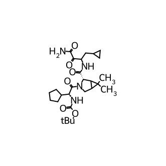 CC(C)(C)OC(=O)N[C@H](C(=O)N1CC2C([C@H]1C(=O)NC(CC1CC1)C(=O)C(N)=O)C2(C)C)C1CCCC1